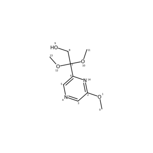 COc1cncc(C(CO)(OC)OC)n1